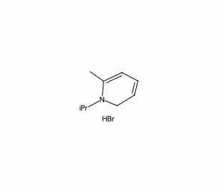 Br.CC1=CC=CCN1C(C)C